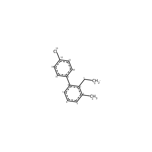 [CH2]Cc1c(C)cccc1-c1ccc(Cl)cc1